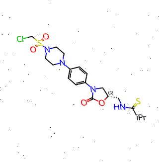 CC(C)C(=S)NC[C@H]1CN(c2ccc(N3CCN(S(=O)(=O)CCl)CC3)cc2)C(=O)O1